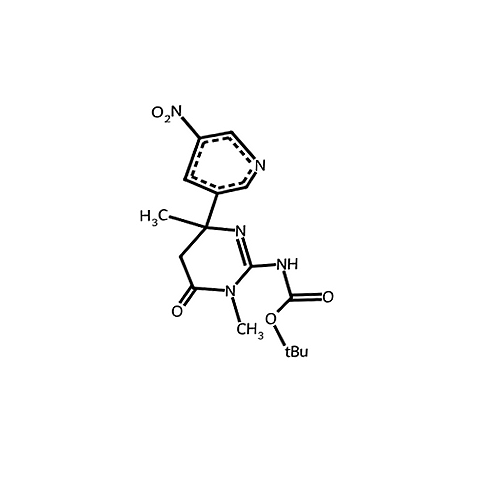 CN1C(=O)CC(C)(c2cncc([N+](=O)[O-])c2)N=C1NC(=O)OC(C)(C)C